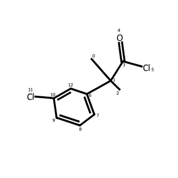 CC(C)(C(=O)Cl)c1cccc(Cl)c1